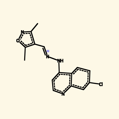 Cc1noc(C)c1/C=N/Nc1ccnc2cc(Cl)ccc12